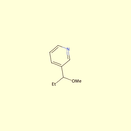 CCC(OC)c1cccnc1